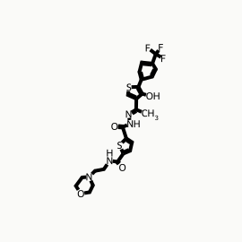 C/C(=N\NC(=O)c1ccc(C(=O)NCCN2CCOCC2)s1)c1csc(-c2ccc(C(F)(F)F)cc2)c1O